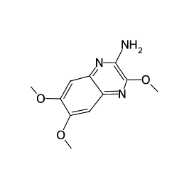 COc1cc2nc(N)c(OC)nc2cc1OC